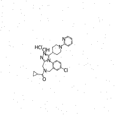 Cl.Cl.O=C(C1CC1)N1Cc2cc(Cl)ccc2-n2c(nnc2C2CCN(c3ccccn3)CC2)C1